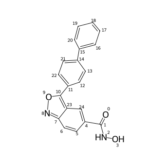 O=C(NO)c1ccc2noc(-c3ccc(-c4ccccc4)cc3)c2c1